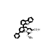 CC(C)(C)OC(=O)NC(/C=C/C(=O)O)CC1(c2cccc3c2oc2ccccc23)C=CC(c2ccccc2)C=C1